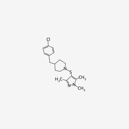 Cc1nn(C)c(C)c1SN1CCC(Cc2ccc(Cl)cc2)CC1